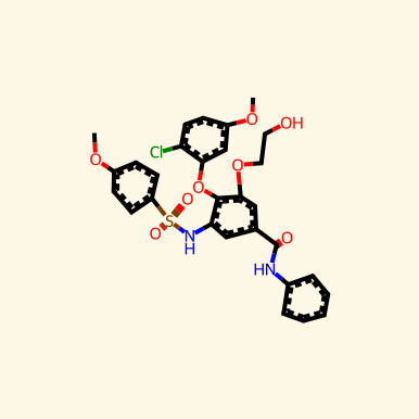 COc1ccc(S(=O)(=O)Nc2cc(C(=O)Nc3ccccc3)cc(OCCO)c2Oc2cc(OC)ccc2Cl)cc1